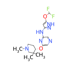 CN1CC[C@H](Oc2cncc(Nc3cc(OC(F)F)[nH]n3)n2)C(C)(C)C1